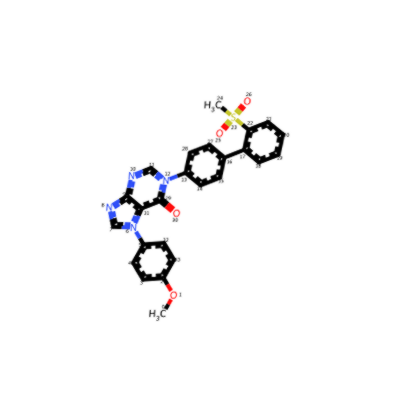 COc1ccc(-n2cnc3ncn(-c4ccc(-c5ccccc5S(C)(=O)=O)cc4)c(=O)c32)cc1